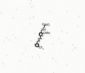 COc1nc(/C(C)=N/OCc2cccc(C(F)(F)F)c2)ccc1CNCCC(=O)N=O